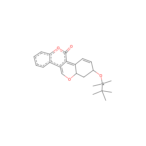 CC(C)(C)[Si](C)(C)OC1C=CC2=c3c(=O)oc4ccccc4c3=COC2C1